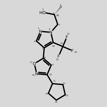 C[C@@H](O)Cn1ncc(-c2cc(C3CCCC3)no2)c1C(F)(F)F